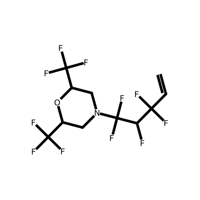 C=CC(F)(F)C(F)C(F)(F)N1CC(C(F)(F)F)OC(C(F)(F)F)C1